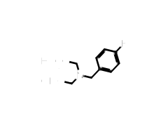 O=CCN(CC(=O)O)Cc1ccc(F)cc1